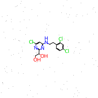 OCC(O)c1nc(Cl)cc(NCCc2ccc(Cl)cc2Cl)n1